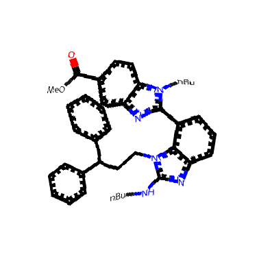 CCCCNc1nc2cccc(-c3nc4cc(C(=O)OC)ccc4n3CCCC)c2n1CCC(c1ccccc1)c1ccccc1